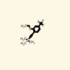 CCSc1cc(C(F)(F)F)ccc1C#CS(C)(C)C